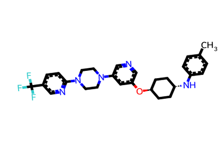 Cc1ccc(N[C@H]2CC[C@H](Oc3cncc(N4CCN(c5ccc(C(F)(F)F)cn5)CC4)c3)CC2)cc1